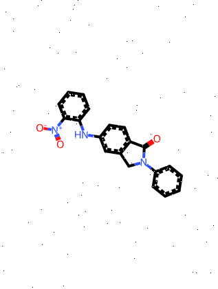 O=C1c2ccc(Nc3ccccc3[N+](=O)[O-])cc2CN1c1ccccc1